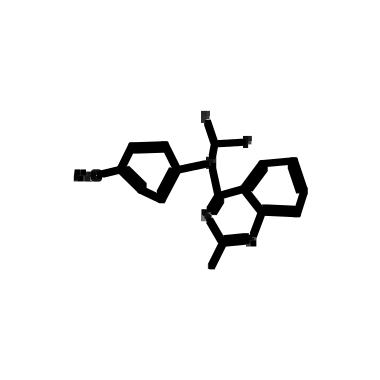 COc1ccc(N(c2nc(C)nc3ccccc23)C(F)F)cc1